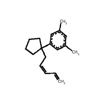 C=C/C=C\CC1(c2cc(C)cc(C)c2)CCCC1